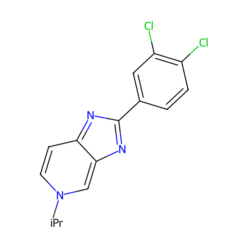 CC(C)n1ccc2nc(-c3ccc(Cl)c(Cl)c3)nc-2c1